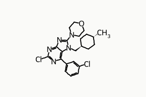 C[C@H]1CC[C@H](Cn2c(N3CCOCC3)nc3nc(Cl)nc(-c4cccc(Cl)c4)c32)CC1